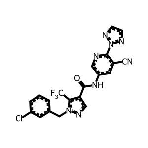 N#Cc1cc(NC(=O)c2cnn(Cc3cccc(Cl)c3)c2C(F)(F)F)cnc1-n1nccn1